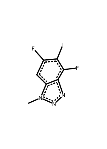 Cn1nnc2c(F)c(I)c(F)cc21